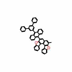 Cc1cc2cc(-c3c4ccccc4c(-c4cc(-c5ccccc5)cc(-c5ccccc5)c4)c4ccccc34)c3oc4ccccc4c3c2c2c1oc1ccccc12